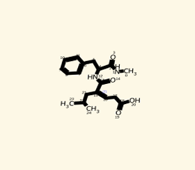 CNC(=O)C(Cc1ccccc1)NC(=O)/C(=C\CC(=O)O)CC(C)C